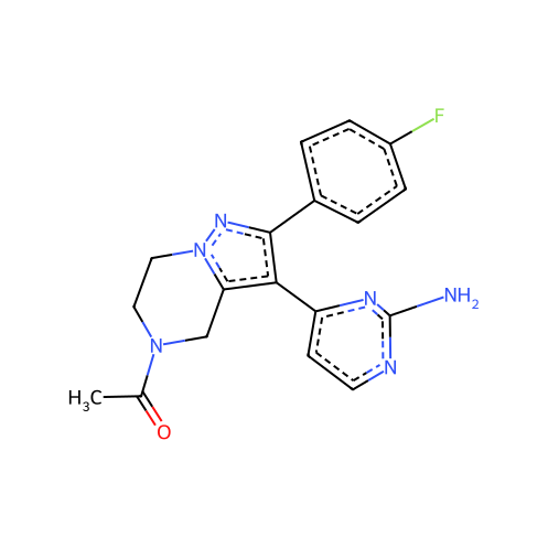 CC(=O)N1CCn2nc(-c3ccc(F)cc3)c(-c3ccnc(N)n3)c2C1